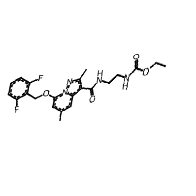 CCOC(=O)NCCNC(=O)c1c(C)nn2c(OCc3c(F)cccc3F)cc(C)cc12